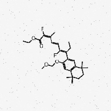 CCOC(=O)/C(F)=C(/C)C=CC(F)=C(CC)c1cc2c(cc1OCOC)C(C)(C)CCC2(C)C